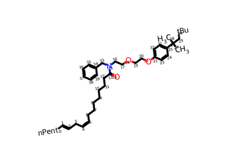 CCCCC/C=C/C/C=C\CCCCCCCC(=O)N(CCOCCOc1ccc(C(C)(C)CC(C)(C)C)cc1)Cc1ccccc1